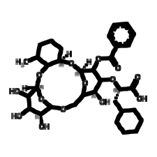 CC1CCC[C@H]2O[C@@H]3OC(COC4O[C@@H](OC12)C(O)C(O)[C@@H]4O)[C@H](O)C(O[C@@H](CC1CCCCC1)C(=O)O)C3OC(=O)c1ccccc1